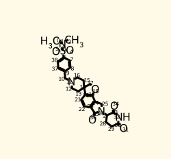 CN(C)S(=O)(=O)c1ccc(CN2CCC3(CC2)COc2c3ccc3c2CN(C2CCC(=O)NC2=O)C3=O)cc1